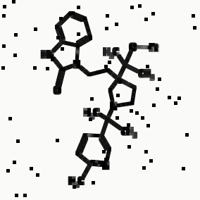 CCOC(C)(C)C1(CCn2c(=O)[nH]c3ccccc32)CCN(C(C)(C)c2ccc(C)nc2)C1